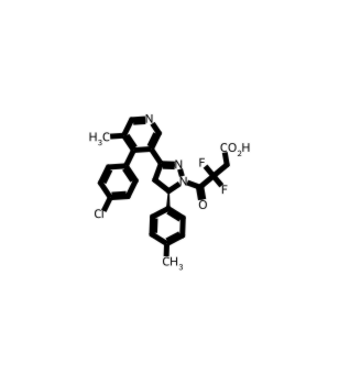 Cc1ccc([C@H]2CC(c3cncc(C)c3-c3ccc(Cl)cc3)=NN2C(=O)C(F)(F)CC(=O)O)cc1